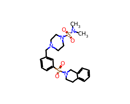 CN(C)S(=O)(=O)N1CCN(Cc2cccc(S(=O)(=O)N3CCc4ccccc4C3)c2)CC1